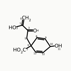 C=C(O)C(=O)CC1(C(=O)O)C=CC(O)C=C1